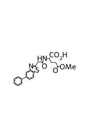 COC(=O)CC[C@H](NC(=O)Cc1nc2cc(-c3ccccc3)ccc2s1)C(=O)O